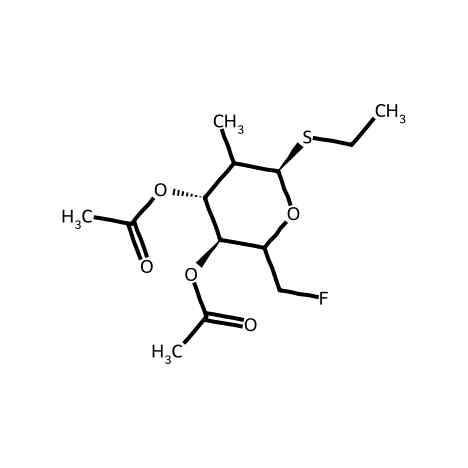 CCS[C@H]1OC(CF)[C@@H](OC(C)=O)[C@H](OC(C)=O)C1C